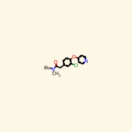 CCC(C)N(C)C(=O)Cc1ccc(Oc2ccncc2)c(Cl)c1